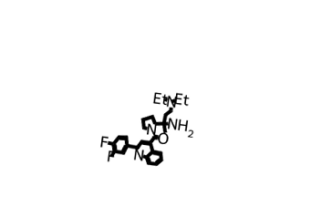 CCN(CC)CCC(C)(N)C1CCCN1C(=O)c1cc(-c2ccc(F)c(F)c2)nc2ccccc12